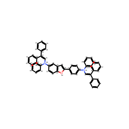 C(=C(c1ccccc1)c1ccccc1)N(c1ccccc1)c1ccc(-c2cc3cc(N(C=C(c4ccccc4)c4ccccc4)c4ccccc4)ccc3o2)cc1